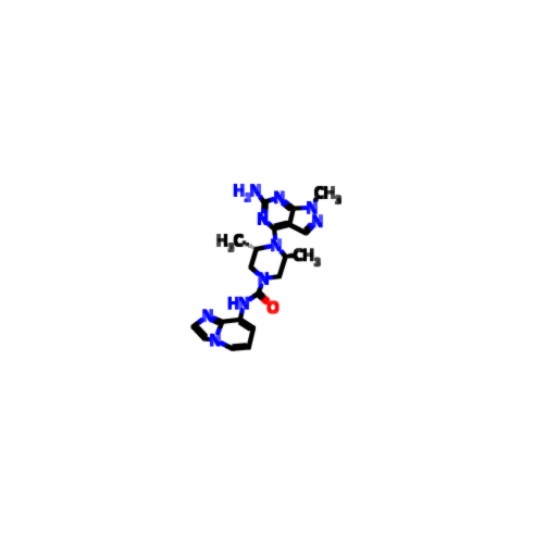 C[C@H]1CN(C(=O)Nc2cccn3ccnc23)C[C@H](C)N1c1nc(N)nc2c1cnn2C